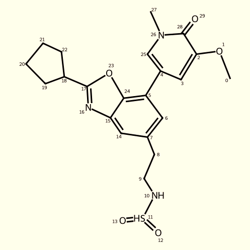 COc1cc(-c2cc(CCN[SH](=O)=O)cc3nc(C4CCCC4)oc23)cn(C)c1=O